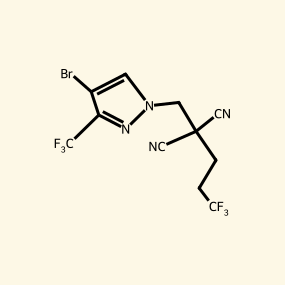 N#CC(C#N)(CCC(F)(F)F)Cn1cc(Br)c(C(F)(F)F)n1